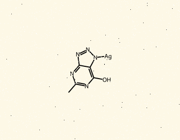 Cc1nc(O)c2c(nn[n]2[Ag])n1